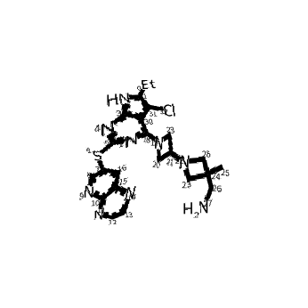 CCc1[nH]c2nc(Sc3cnc4nccnc4c3)nc(N3CC(N4CC(C)(CN)C4)C3)c2c1Cl